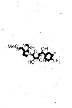 CON=c1nc[nH]c2c1ccn2[C@@H]1O[C@H]([C@H](O)c2ccc(C(F)(F)F)c(F)c2)[C@@H](O)[C@H]1O